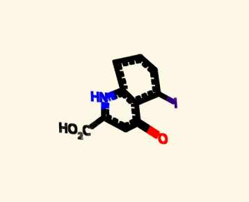 O=C(O)c1cc(=O)c2c(I)cccc2[nH]1